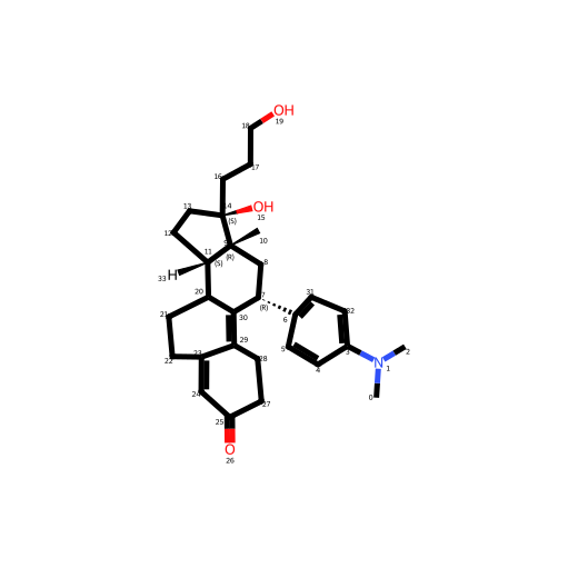 CN(C)c1ccc([C@H]2C[C@]3(C)[C@@H](CC[C@]3(O)CCCO)C3CCC4=CC(=O)CCC4=C32)cc1